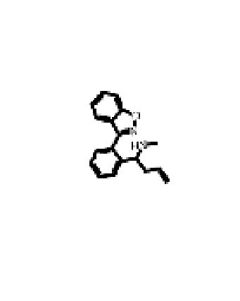 C=CCC(NC)c1ccccc1-c1noc2ccccc12